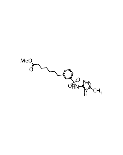 COC(=O)CCCCCCc1cccc(S(=O)(=O)Nc2nnc(C)[nH]2)c1